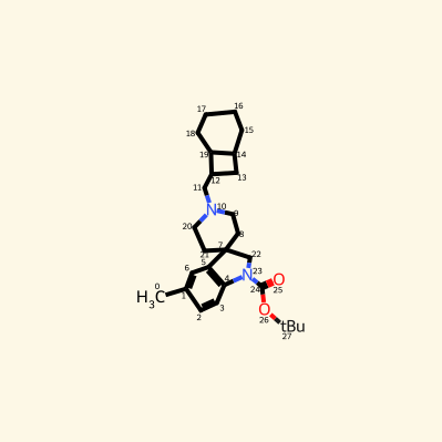 Cc1ccc2c(c1)C1(CCN(CC3CC4CCCCC43)CC1)CN2C(=O)OC(C)(C)C